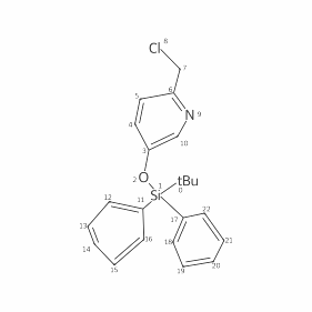 CC(C)(C)[Si](Oc1ccc(CCl)nc1)(c1ccccc1)c1ccccc1